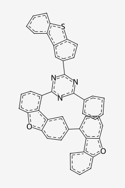 c1ccc(-c2nc(-c3ccc4sc5ccccc5c4c3)nc(-c3cccc4oc5ccc(-c6cccc7oc8ccccc8c67)cc5c34)n2)cc1